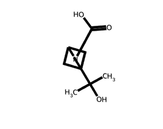 CC(C)(O)C12CC(C1)N(C(=O)O)C2